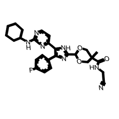 CC1(C(=O)NCC#N)COC(c2nc(-c3ccc(F)cc3)c(-c3ccnc(NC4CCCCC4)n3)[nH]2)OC1